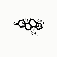 C[C@@H]1CC2=CC(=O)CC[C@@H]2[C@H]2CC[C@]3(C)CCC[C@H]3[C@@H]21